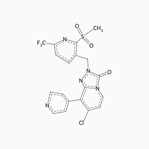 CS(=O)(=O)c1nc(C(F)(F)F)ccc1Cn1nc2c(-c3ccncc3)c(Cl)ccn2c1=O